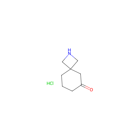 Cl.O=C1CCCC2(CNC2)C1